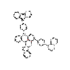 c1ccc(N(c2ccc(-c3ccc(-c4cccc5ccccc45)cc3)cc2)c2ccc(-n3c4ccccc4c4ccccc43)cc2)c(-c2cccc3c2sc2ccccc23)c1